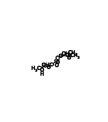 C=C(C)C(=O)OCC(O)COC1=CC2OC(=O)C(c3ccc(OCCC(O)C(O)CC)cc3)=CC2C=C1